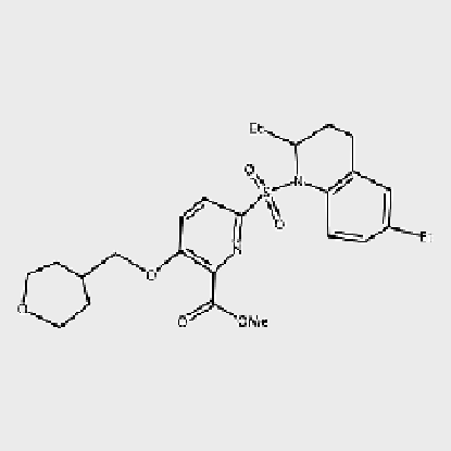 CCc1ccc2c(c1)CCC(CC)N2S(=O)(=O)c1ccc(OCC2CCOCC2)c(C(=O)OC)n1